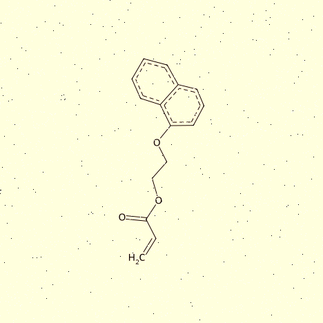 C=CC(=O)OCCOc1cccc2ccccc12